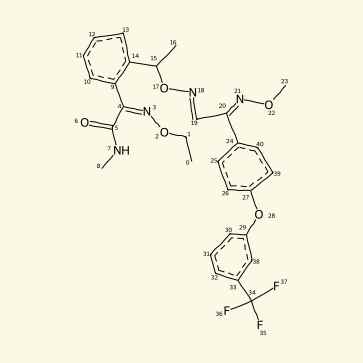 CCON=C(C(=O)NC)c1ccccc1C(C)ON=CC(=NOC)c1ccc(Oc2cccc(C(F)(F)F)c2)cc1